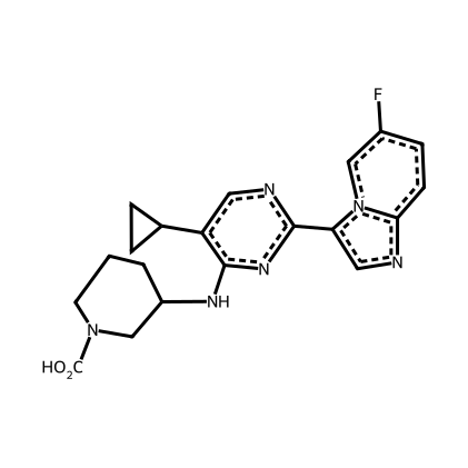 O=C(O)N1CCCC(Nc2nc(-c3cnc4ccc(F)cn34)ncc2C2CC2)C1